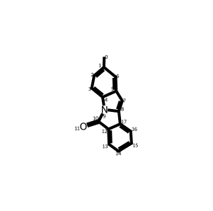 Cc1ccc2c(c1)cc1n2C(=O)c2ccccc2-1